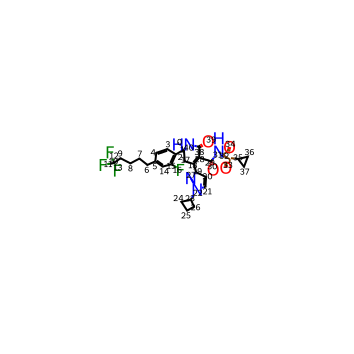 C[C@@]1(c2ccc(CCCCC(F)(F)F)cc2F)CC(c2ccn(C3CCC3)n2)=C(C(=O)NS(=O)(=O)C2CC2)C(=O)N1